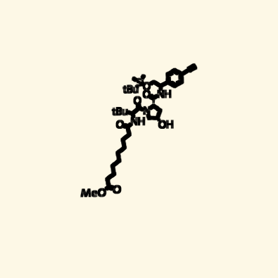 C#Cc1ccc(C(CO[Si](C)(C)C(C)(C)C)NC(=O)[C@@H]2C[C@@H](O)CN2C(=O)C(NC(=O)CCCCCCCCC(=O)OC)C(C)(C)C)cc1